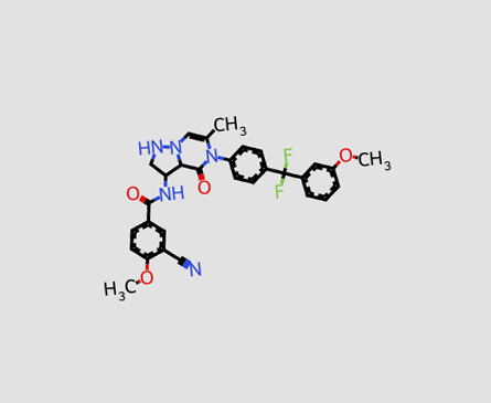 COc1cccc(C(F)(F)c2ccc(N3C(=O)C4C(NC(=O)c5ccc(OC)c(C#N)c5)CNN4C=C3C)cc2)c1